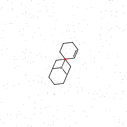 C1=CC(B2C3CCCC2CCC3)CCC1